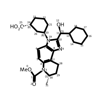 COC(=O)N1c2ccc3c(nc([C@@H](O)C4CCCCC4)n3[C@@H]3CCC[C@@H](C(=O)O)C3)c2CC[C@@H]1C